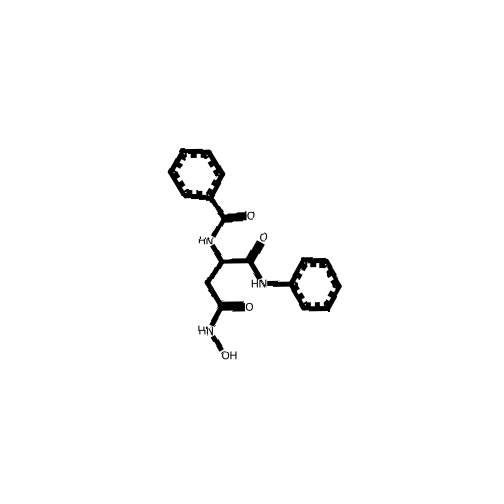 O=C(CC(NC(=O)c1ccccc1)C(=O)Nc1ccccc1)NO